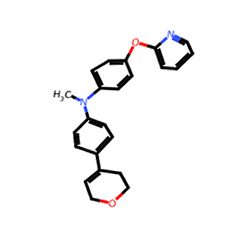 CN(c1ccc(Oc2ccccn2)cc1)c1ccc(C2=CCOCC2)cc1